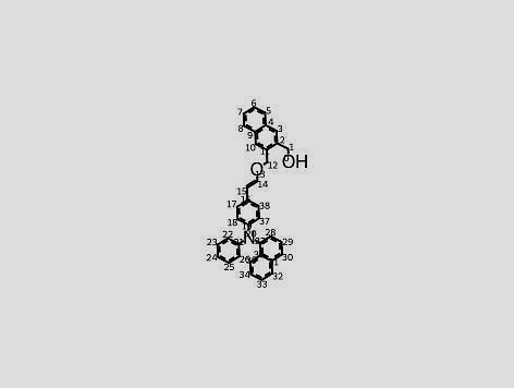 OCc1cc2ccccc2cc1COC=Cc1ccc(N(c2ccccc2)c2cccc3ccccc23)cc1